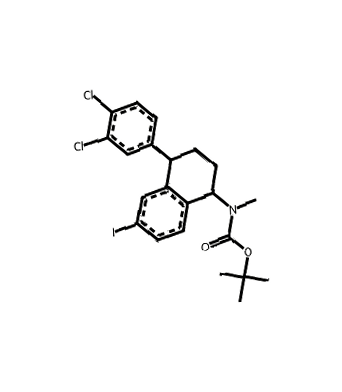 CN(C(=O)OC(C)(C)C)C1CCC(c2ccc(Cl)c(Cl)c2)c2cc(I)ccc21